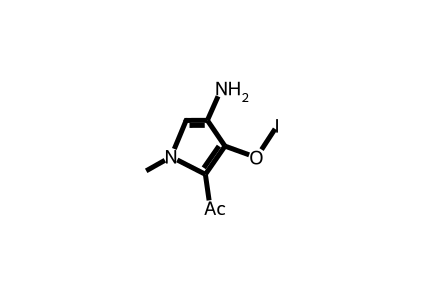 CC(=O)c1c(OI)c(N)cn1C